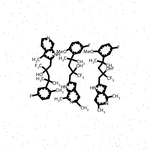 COc1ccc(F)cc1C(C)(C)CC(O)(Cc1cc2c(C)nc(C)cc2[nH]1)C(F)(F)F.COc1ccc(F)cc1C(C)(C)CC(O)(Cc1cc2cc(C)nc(C)c2[nH]1)C(F)(F)F.Cc1ccc(F)cc1C(C)(C)CC(O)(Cc1[nH]c2cnccc2c1C)C(F)(F)F